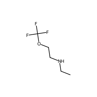 CCNCCOC(F)(F)F